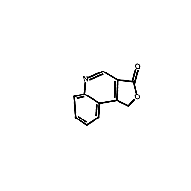 O=C1OCc2c1cnc1ccccc21